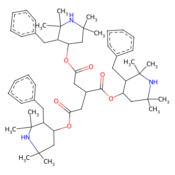 CC1(C)CC(OC(=O)CC(CC(=O)OC2CC(C)(C)NC(C)(C)C2Cc2ccccc2)C(=O)OC2CC(C)(C)NC(C)(C)C2Cc2ccccc2)C(Cc2ccccc2)C(C)(C)N1